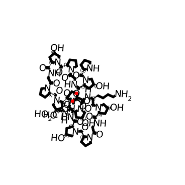 NCCCC[C@H](NC(=O)CNC(=O)[C@@H]1C[C@@H](O)CN1C(=O)[C@@H]1CCCN1C(=O)CNC(=O)[C@@H]1C[C@@H](O)CN1C(=O)[C@@H]1CCCN1C(=O)CNC(=O)[C@@H]1C[C@@H](O)CN1C(=O)[C@@H]1CCCN1)C(=O)N1C[C@H](O)C[C@H]1C(=O)NCC(=O)N1CCC[C@H]1C(=O)N1C[C@H](O)C[C@H]1C(=O)NCC(=O)N1CCC[C@H]1C(=O)N1C[C@H](O)C[C@H]1C(=O)NCC(=O)O